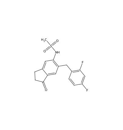 CS(=O)(=O)Nc1cc2c(cc1Cc1ccc(F)cc1F)C(=O)CC2